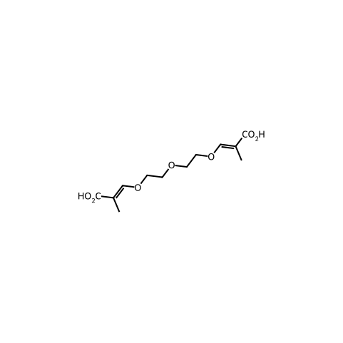 CC(=COCCOCCOC=C(C)C(=O)O)C(=O)O